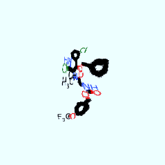 CN(C(=O)CNC(=O)OCc1ccc(OC(F)(F)F)cc1)C1=C(OCc2ccccc2)c2cc(Cl)ccc2NC1(C)Cl